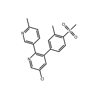 Cc1ccc(-c2ncc(Cl)cc2-c2ccc(S(C)(=O)=O)c(C)c2)cn1